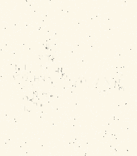 NC(=O)OC[C@@H]1[C@H](NC(=O)/C(=N\OCC(=O)OCc2ccc([N+](=O)[O-])cc2)c2csc(N)n2)C(=O)N1S(=O)(=O)O